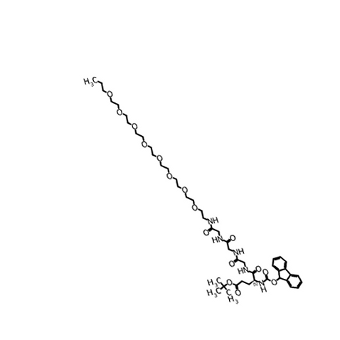 CCCOCCOCCOCCOCCOCCOCCOCCOCCNC(=O)CNC(=O)CNC(=O)CNC(=O)[C@H](CCC(=O)OC(C)(C)C)NC(=O)OC1c2ccccc2-c2ccccc21